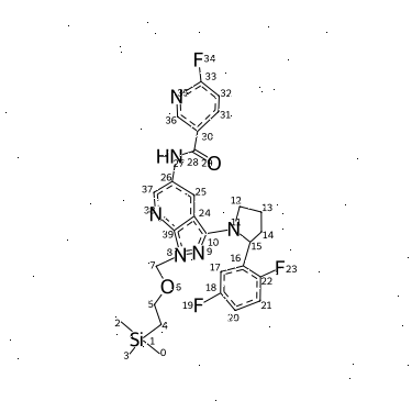 C[Si](C)(C)CCOCn1nc(N2CCCC2c2cc(F)ccc2F)c2cc(NC(=O)c3ccc(F)nc3)cnc21